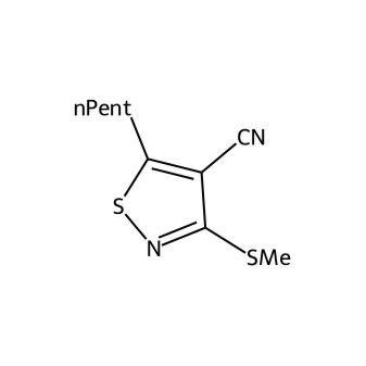 CCCCCc1snc(SC)c1C#N